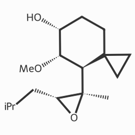 CO[C@@H]1[C@H](O)CCC2(CC2)[C@H]1[C@@]1(C)O[C@@H]1CC(C)C